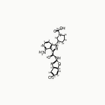 Nc1nccc2c1c(C(=O)Nc1nc3cc(Cl)ccc3o1)nn2C1CCCN(C(=O)O)C1